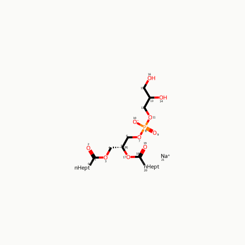 CCCCCCCC(=O)OC[C@H](COP(=O)([O-])OCC(O)CO)OC(=O)CCCCCCC.[Na+]